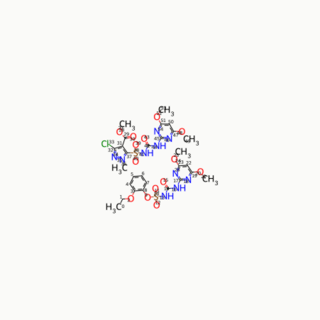 CCOc1ccccc1OS(=O)(=O)NC(=O)Nc1nc(OC)cc(OC)n1.COC(=O)c1c(Cl)nn(C)c1S(=O)(=O)NC(=O)Nc1nc(OC)cc(OC)n1